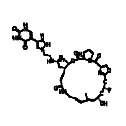 CC1=C\[C@@H](O)C[C@@H](F)Cc2nc(co2)C(=O)N2CCC[C@@H]2C(=O)O[C@H](C(C)C)[C@H](CC(=O)NCCN2C=C(c3c[nH]c(=O)[nH]c3=O)NN2)/C=C/C(=O)NC\C=C\1